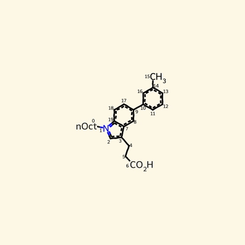 CCCCCCCCn1cc(CCC(=O)O)c2cc(-c3cccc(C)c3)ccc21